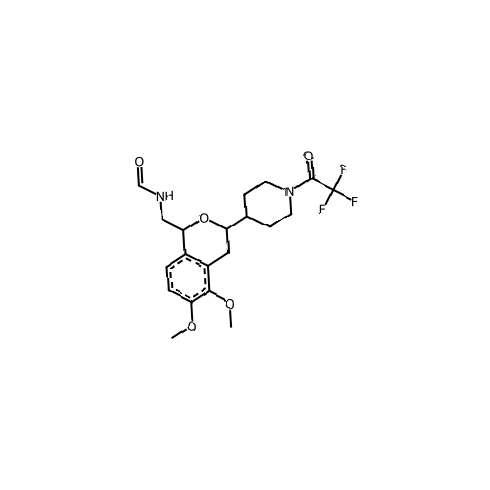 COc1ccc2c(c1OC)CC(C1CCN(C(=O)C(F)(F)F)CC1)OC2CNC=O